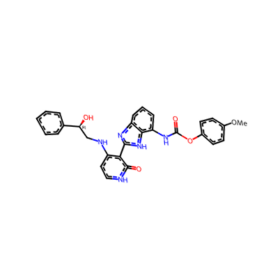 COc1ccc(OC(=O)Nc2cccc3nc(-c4c(NC[C@H](O)c5ccccc5)cc[nH]c4=O)[nH]c23)cc1